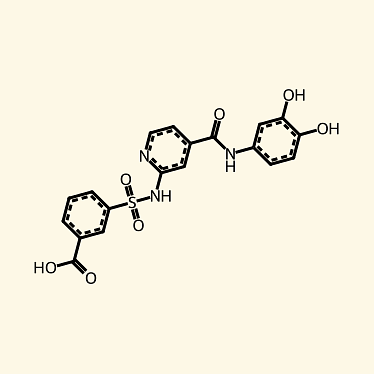 O=C(O)c1cccc(S(=O)(=O)Nc2cc(C(=O)Nc3ccc(O)c(O)c3)ccn2)c1